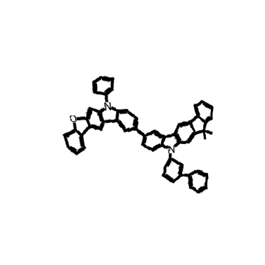 CC1(C)c2ccccc2-c2cc3c4cc(-c5ccc6c(c5)c5cc7c(cc5n6-c5ccccc5)oc5ccccc57)ccc4n(-c4cccc(-c5ccccc5)c4)c3cc21